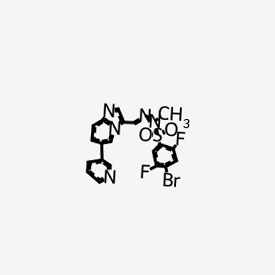 CN(N=Cc1cnc2ccc(-c3cccnc3)cn12)S(=O)(=O)c1cc(F)c(Br)cc1F